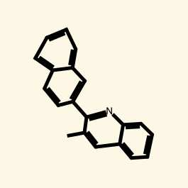 Cc1cc2ccccc2nc1-c1ccc2ccccc2c1